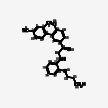 N#Cc1cc(C#N)c(-c2cc(C(=O)CNc3ccccc3OCCC(=O)O)ccc2Cl)cn1